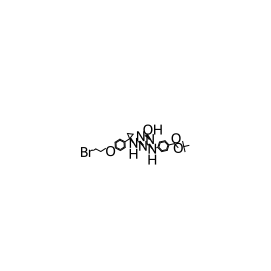 CC(C)(C)OC(=O)c1ccc(Nc2nc(O)nc(NC3(c4ccc(OCCCBr)cc4)CC3)n2)cc1